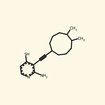 CC1CCCC(C#Cc2c(S)ccnc2N)CCCC1C